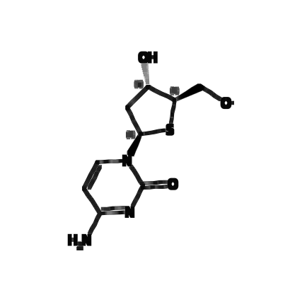 Nc1ccn([C@H]2C[C@H](O)[C@@H](C[O])S2)c(=O)n1